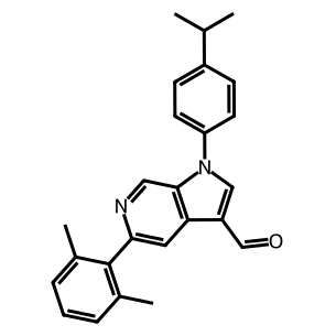 Cc1cccc(C)c1-c1cc2c(C=O)cn(-c3ccc(C(C)C)cc3)c2cn1